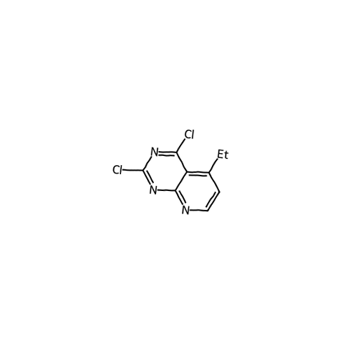 CCc1ccnc2nc(Cl)nc(Cl)c12